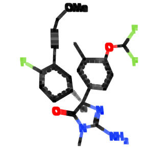 COCC#Cc1cc([C@]2(c3ccc(OC(F)F)c(C)c3)N=C(N)N(C)C2=O)ccc1F